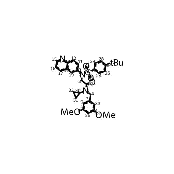 COc1cc(CN(C(=O)CN(c2ccc3ncccc3c2)S(=O)(=O)c2ccc(C(C)(C)C)cc2)C2CC2)cc(OC)c1